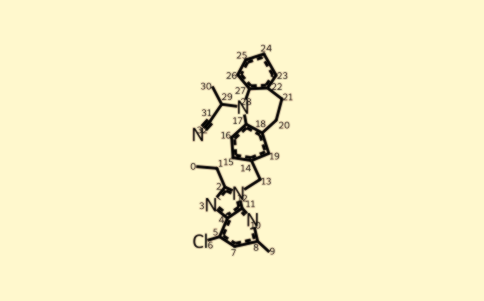 CCc1nc2c(Cl)cc(C)nc2n1Cc1ccc2c(c1)CCc1ccccc1N2C(C)C#N